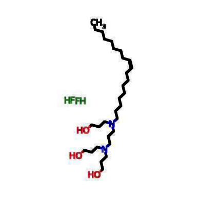 CCCCCCCC/C=C\CCCCCCCCN(CCCO)CCCN(CCCO)CCCO.F.F